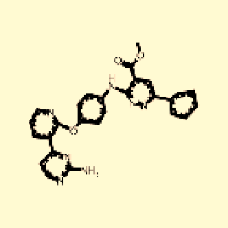 COC(=O)c1cc(-c2ccccc2)nnc1Nc1ccc(Oc2ncccc2-c2ccnc(N)n2)cc1